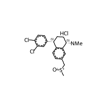 CN[C@H]1CC[C@@H](c2ccc(Cl)c(Cl)c2)c2ccc(C[S+](C)[O-])cc21.Cl